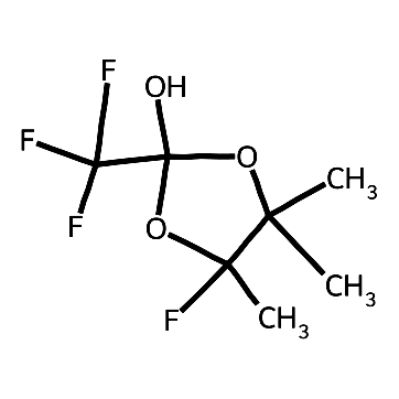 CC1(C)OC(O)(C(F)(F)F)OC1(C)F